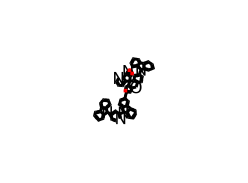 c1cnc2c(c1)C1(c3ccc(-c4ccc5c(c4)c4ccccc4n5-c4cc(-n5c6ccccc6c6ccccc65)ccn4)cc3Oc3ccc(-n4c5ccccc5c5ccccc54)cc31)c1cccnc1-2